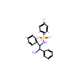 NC(c1ccccc1)C(NS(=O)(=O)c1ccc(F)cc1)c1ccccc1